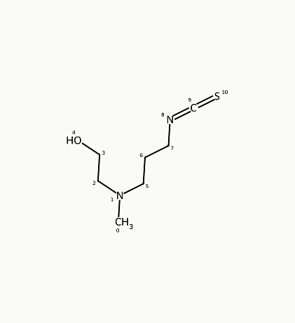 CN(CCO)CCCN=C=S